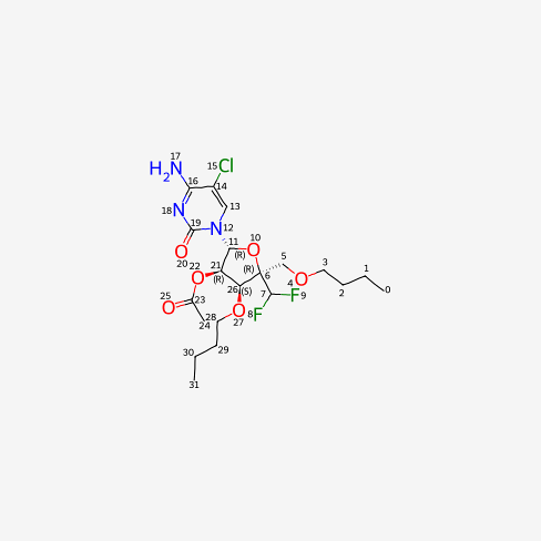 CCCCOC[C@@]1(C(F)F)O[C@@H](n2cc(Cl)c(N)nc2=O)[C@H](OC(C)=O)[C@@H]1OCCCC